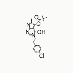 Cc1nc2ncn(CCc3ccc(Cl)cc3)c(O)c-2c1OC(=O)C(C)(C)C